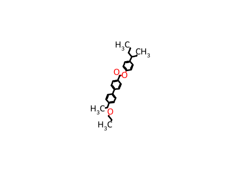 CCCOC(C)c1ccc(-c2ccc(C(=O)Oc3ccc(C(CC)CCC)cc3)cc2)cc1